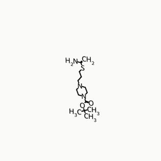 C=C(N)SCCCN1CCN(C(=O)OC(C)(C)C)CC1